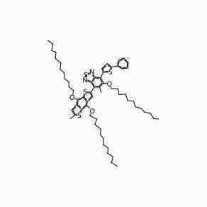 CCCCCCCCCCCCOc1c(C)c(-c2cc3c(OCCCCCCCCCCCC)c4sc(C)cc4c(OCCCCCCCCCCCC)c3s2)c2nsnc2c1-c1ccc(-c2ccccc2)s1